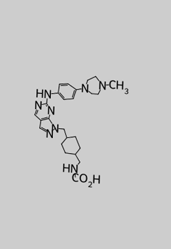 CN1CCN(c2ccc(Nc3ncc4cnn(CC5CCC(CNC(=O)O)CC5)c4n3)cc2)CC1